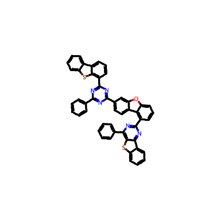 c1ccc(-c2nc(-c3ccc4c(c3)oc3cccc(-c5nc(-c6ccccc6)c6sc7ccccc7c6n5)c34)nc(-c3cccc4c3sc3ccccc34)n2)cc1